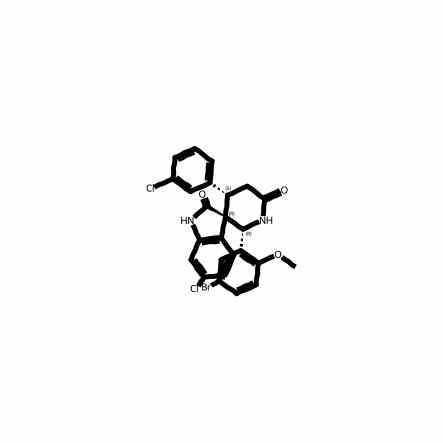 COc1ccc(Br)cc1[C@H]1NC(=O)C[C@@H](c2cccc(Cl)c2)[C@]12C(=O)Nc1cc(Cl)ccc12